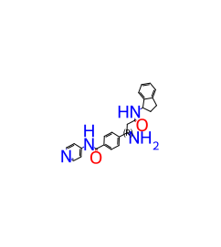 N[C@H](CC(=O)NC1CCc2ccccc21)c1ccc(C(=O)Nc2ccncc2)cc1